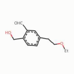 CCOCCc1ccc(CO)c(C=O)c1